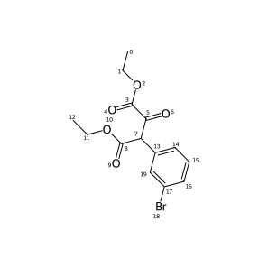 CCOC(=O)C(=O)C(C(=O)OCC)c1cccc(Br)c1